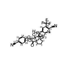 CN1CCC[C@@]1(C(=O)O)C(C)(COc1ccc(C#N)cc1)C(=O)Nc1cnc(C#N)c(C(F)(F)F)c1